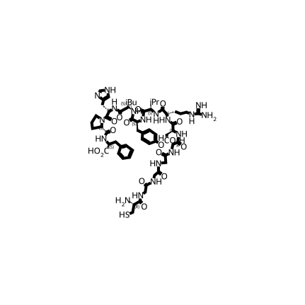 CC[C@H](C)[C@H](NC(=O)[C@H](Cc1ccc(O)cc1)NC(=O)[C@@H](NC(=O)[C@H](CCCNC(=N)N)NC(=O)[C@H](CC(=O)O)NC(=O)CNC(=O)CNC(=O)CNC(=O)CNC(=O)[C@@H](N)CS)C(C)C)C(=O)N[C@@H](Cc1c[nH]cn1)C(=O)N1CCC[C@H]1C(=O)N[C@@H](Cc1ccccc1)C(=O)O